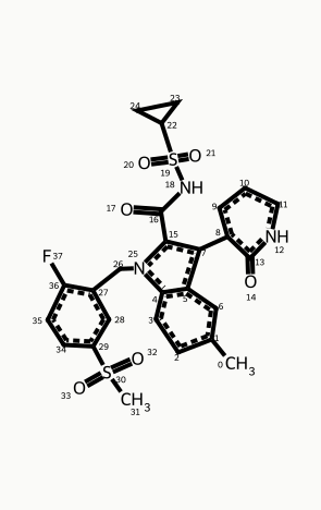 Cc1ccc2c(c1)c(-c1ccc[nH]c1=O)c(C(=O)NS(=O)(=O)C1CC1)n2Cc1cc(S(C)(=O)=O)ccc1F